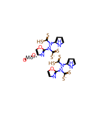 S=C(S)N(c1ccc[nH]1)N(C(=S)[S-])c1ncco1.S=C(S)N(c1ccc[nH]1)N(C(=S)[S-])c1ncco1.[O]=[Mo+2]=[O]